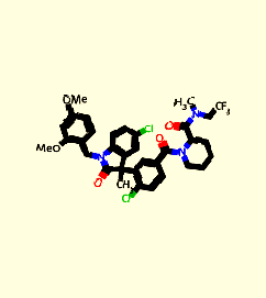 COc1ccc(CN2C(=O)C(C)(c3cc(C(=O)N4CCCCC4C(=O)N(C)CC(F)(F)F)ccc3Cl)c3cc(Cl)ccc32)c(OC)c1